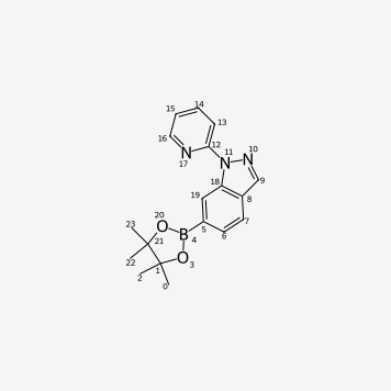 CC1(C)OB(c2ccc3cnn(-c4ccccn4)c3c2)OC1(C)C